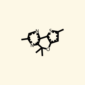 Cc1cnc2c(n1)C(C)(C)Oc1cc(C)sc1-2